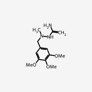 C=C(N)NN(C)Cc1cc(OC)c(OC)c(OC)c1